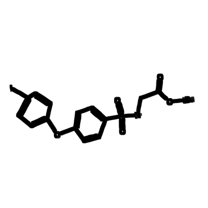 CC(C)(C)OC(=O)C[N]S(=O)(=O)c1ccc(Oc2ccc(I)cc2)cc1